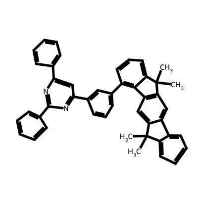 CC1(C)c2ccccc2-c2cc3c(cc21)-c1c(-c2cccc(-c4cc(-c5ccccc5)nc(-c5ccccc5)n4)c2)cccc1C3(C)C